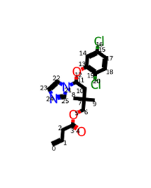 C=CCC(=O)OCC(C)(C)CC(Oc1cc(Cl)ccc1Cl)n1ccnc1